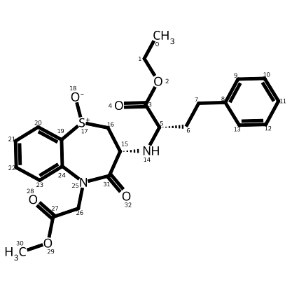 CCOC(=O)[C@H](CCc1ccccc1)N[C@H]1C[S+]([O-])c2ccccc2N(CC(=O)OC)C1=O